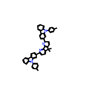 Cc1ccc(-n2c3ccccc3c3ccc(-c4ccc5c(n4)-c4nc(-c6ccc7c8ccccc8n(-c8ccc(C)cc8)c7c6)ccc4C5(C)C)cc32)cc1